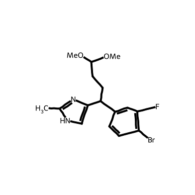 COC(CCC(c1ccc(Br)c(F)c1)c1c[nH]c(C)n1)OC